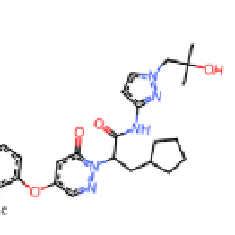 CC(=O)c1ccccc1Oc1cnn(C(CC2CCCC2)C(=O)Nc2ccn(CC(C)(C)O)n2)c(=O)c1